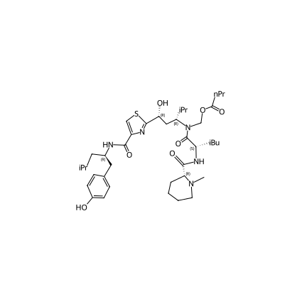 CCCC(=O)OCN(C(=O)[C@@H](NC(=O)[C@H]1CCCCN1C)C(C)CC)[C@H](C[C@@H](O)c1nc(C(=O)N[C@@H](Cc2ccc(O)cc2)CC(C)C)cs1)C(C)C